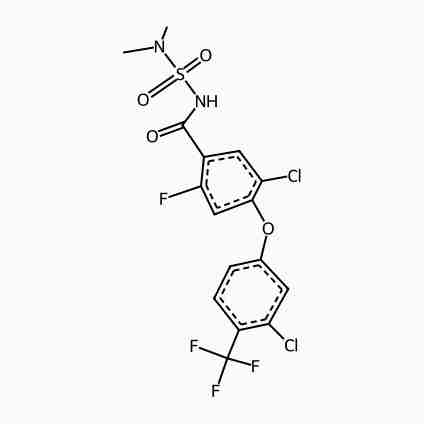 CN(C)S(=O)(=O)NC(=O)c1cc(Cl)c(Oc2ccc(C(F)(F)F)c(Cl)c2)cc1F